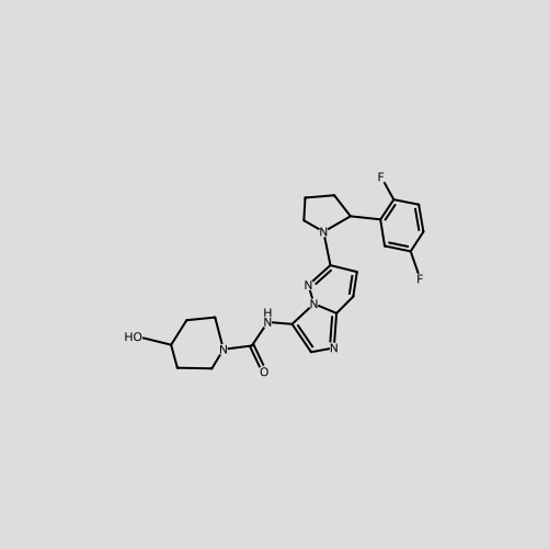 O=C(Nc1cnc2ccc(N3CCCC3c3cc(F)ccc3F)nn12)N1CCC(O)CC1